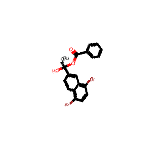 CC(C)(C)C(O)(OC(=O)c1ccccc1)c1ccc2c(Br)ccc(Br)c2c1